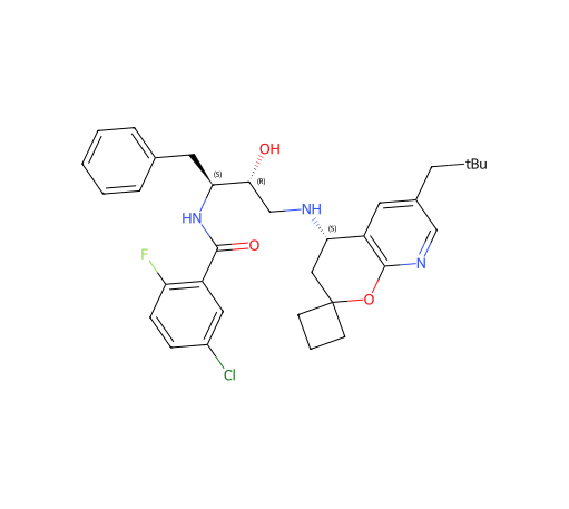 CC(C)(C)Cc1cnc2c(c1)[C@@H](NC[C@@H](O)[C@H](Cc1ccccc1)NC(=O)c1cc(Cl)ccc1F)CC1(CCC1)O2